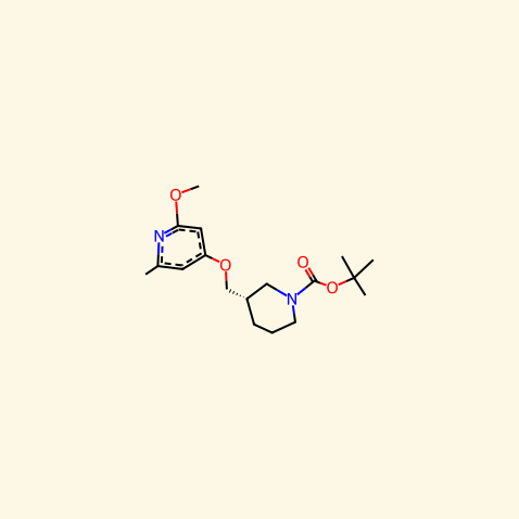 COc1cc(OC[C@H]2CCCN(C(=O)OC(C)(C)C)C2)cc(C)n1